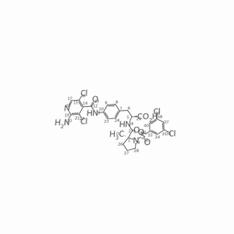 C[C@@]1(C(=O)N[C@@H](Cc2ccc(NC(=O)c3c(Cl)cnc(N)c3Cl)cc2)C(=O)O)CCCN1S(=O)(=O)c1cc(Cl)cc(Cl)c1